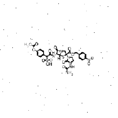 CC(=O)Oc1ccc(C(C(=O)N[C@@H]2C(=O)N3C[C@@](C(=O)OCc4ccc([N+](=O)[O-])cc4)(N4CCN(NC(N)=O)C4=O)S[C@H]23)S(=O)(=O)O)cc1